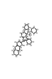 O=P1(c2ccccc2)c2ccccc2-c2ccc3c(c21)c1ccccc1n3-c1ccc2cc3ccccc3cc2c1